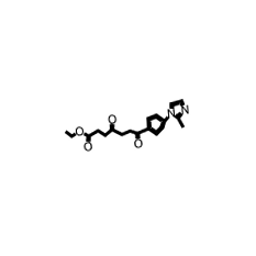 CCOC(=O)CCC(=O)CCC(=O)c1ccc(-n2ccnc2C)cc1